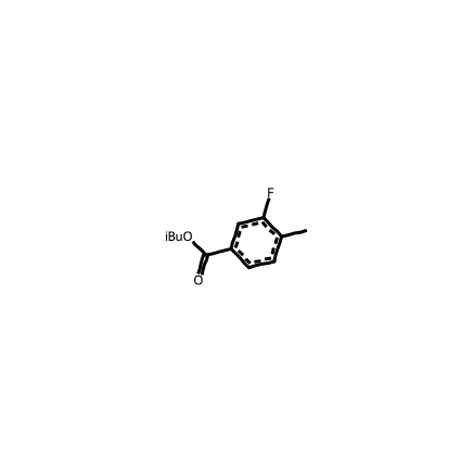 Cc1ccc(C(=O)OCC(C)C)cc1F